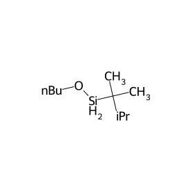 CCCCO[SiH2]C(C)(C)C(C)C